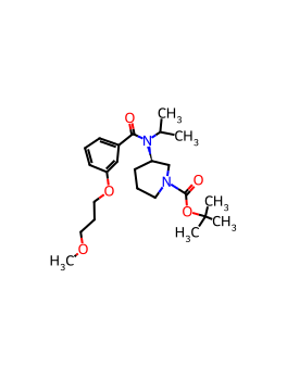 COCCCOc1cccc(C(=O)N(C(C)C)[C@@H]2CCCN(C(=O)OC(C)(C)C)C2)c1